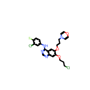 Fc1ccc(Nc2ncnc3cc(OCCCCl)c(OCCCN4C=COC=C4)cc23)cc1Cl